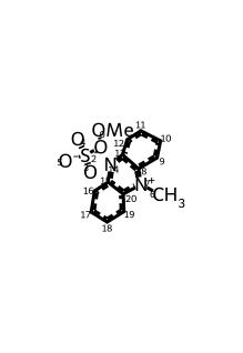 COOS(=O)(=O)[O-].C[n+]1c2ccccc2nc2ccccc21